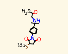 BC(=O)CNC(C)(C)c1ccc(N2C(=O)CC(SC(C)(C)C)C2=O)cc1